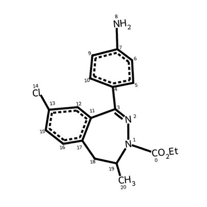 CCOC(=O)N1N=C(c2ccc(N)cc2)c2cc(Cl)ccc2CC1C